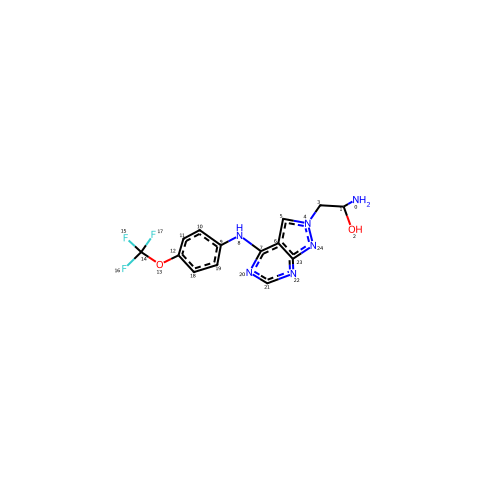 NC(O)Cn1cc2c(Nc3ccc(OC(F)(F)F)cc3)ncnc2n1